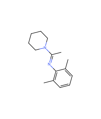 C/C(=N\c1c(C)cccc1C)N1CCCCC1